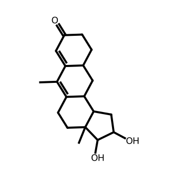 CC1=C2CCC3(C)C(O)C(O)CC3C2CC2CCC(=O)C=C12